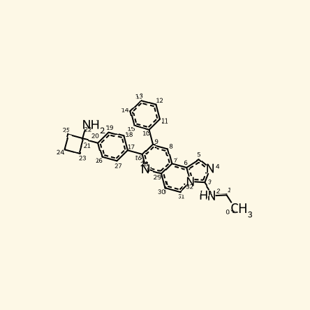 CCNc1ncc2c3cc(-c4ccccc4)c(-c4ccc(C5(N)CCC5)cc4)nc3ccn12